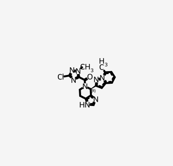 Cc1cccc2cc([C@H]3c4nc[nH]c4CCN3C(=O)c3nc(Cl)nn3C)nn12